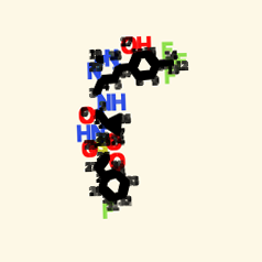 O=C(NCc1cc(-c2ccc(C(F)(F)F)cc2O)ncn1)C1(NS(=O)(=O)c2cc3cc(F)ccc3o2)CC1